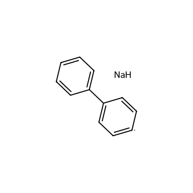 [NaH].[c]1ccc(-c2ccccc2)cc1